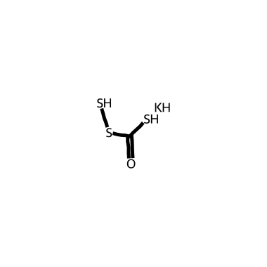 O=C(S)SS.[KH]